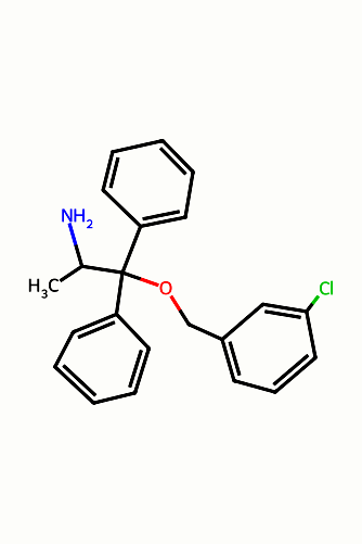 CC(N)C(OCc1cccc(Cl)c1)(c1ccccc1)c1ccccc1